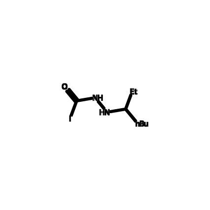 CCCCC(CC)NNC(=O)I